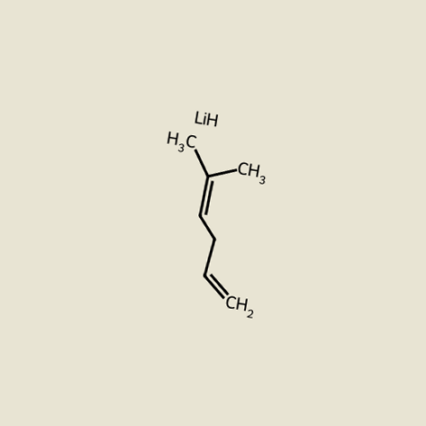 C=CCC=C(C)C.[LiH]